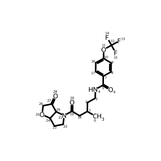 CC(CCNC(=O)c1ccc(OC(F)(F)F)cc1)CC(=O)N1CCC2OCC(=O)C21